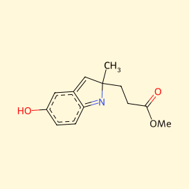 COC(=O)CCC1(C)C=c2cc(O)ccc2=N1